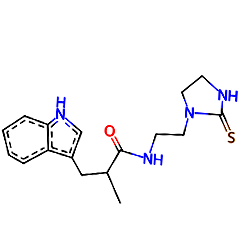 CC(Cc1c[nH]c2ccccc12)C(=O)NCCN1CCNC1=S